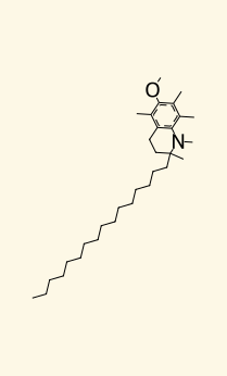 CCCCCCCCCCCCCCCCC1(C)CCc2c(C)c(OC)c(C)c(C)c2N1C